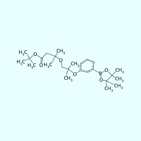 CC(C)(C)OC(=O)CC(C)(C)OCC(C)(C)Oc1cccc(B2OC(C)(C)C(C)(C)O2)c1